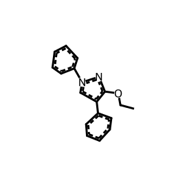 CCOc1nn(-c2ccccc2)cc1-c1ccccc1